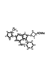 COC1CC(c2cn3nc(-c4nccn4C)nc(N)c3c2-c2ccccc2)C1